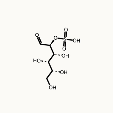 O=C[C@@H](OS(=O)(=O)O)[C@H](O)[C@@H](O)[C@H](O)CO